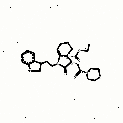 CCOC(=O)[C@@]12CCCC=C1N(CCC1CNc3ccccc31)C(=O)[C@H]2CC(=O)N1CCOCC1